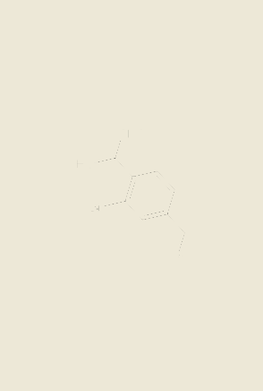 O=CC(O)c1ccc(CBr)cc1Br